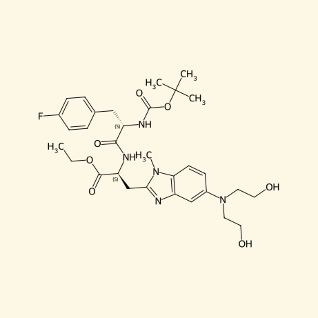 CCOC(=O)[C@H](Cc1nc2cc(N(CCO)CCO)ccc2n1C)NC(=O)[C@H](Cc1ccc(F)cc1)NC(=O)OC(C)(C)C